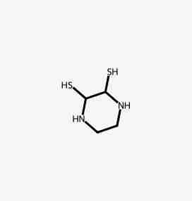 SC1NCCNC1S